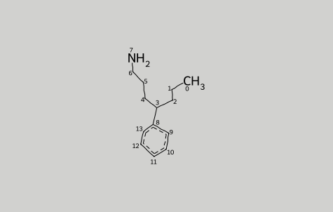 CCCC(CCCN)c1ccccc1